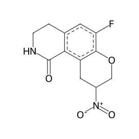 O=C1NCCc2cc(F)c3c(c21)CC([N+](=O)[O-])CO3